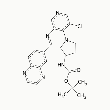 CC(C)(C)OC(=O)N[C@H]1CCN(c2c(Cl)cncc2/N=C/c2ccc3nccnc3c2)C1